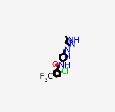 Cc1cc(NCC2CCC(NC(=O)c3cc(C(F)(F)F)ccc3Cl)CC2)n[nH]1